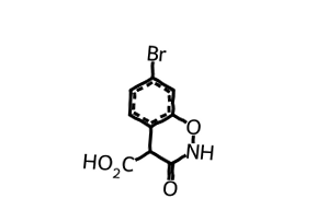 O=C(O)C1C(=O)NOc2cc(Br)ccc21